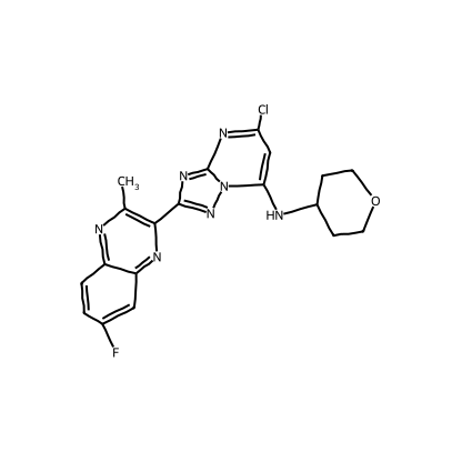 Cc1nc2ccc(F)cc2nc1-c1nc2nc(Cl)cc(NC3CCOCC3)n2n1